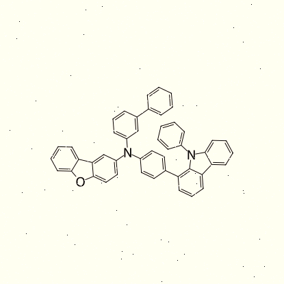 c1ccc(-c2cccc(N(c3ccc(-c4cccc5c6ccccc6n(-c6ccccc6)c45)cc3)c3ccc4oc5ccccc5c4c3)c2)cc1